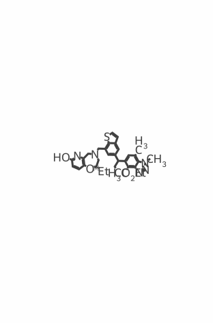 CCOC(=O)CC(c1cc(CN2Cc3nc(O)ccc3O[C@H](CC)C2)c2sccc2c1)c1cc(C)c2c(nnn2C)c1C